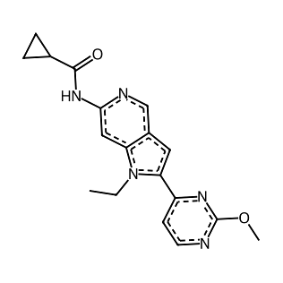 CCn1c(-c2ccnc(OC)n2)cc2cnc(NC(=O)C3CC3)cc21